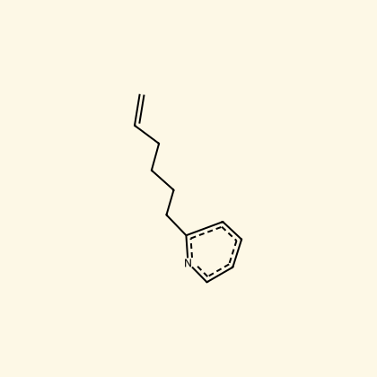 C=CCCCCc1ccccn1